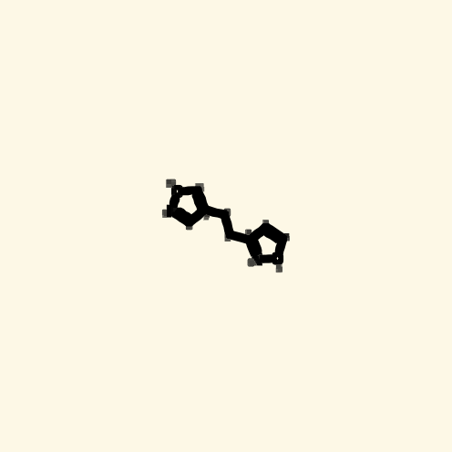 [CH](Cc1ccon1)c1cnoc1